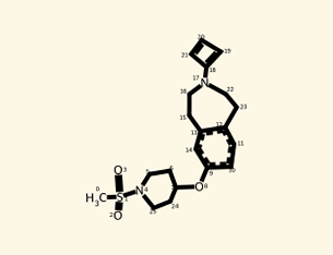 CS(=O)(=O)N1CCC(Oc2ccc3c(c2)CCN(C2=CC=C2)CC3)CC1